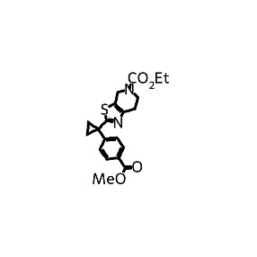 CCOC(=O)N1CCc2nc(C3(c4ccc(C(=O)OC)cc4)CC3)sc2C1